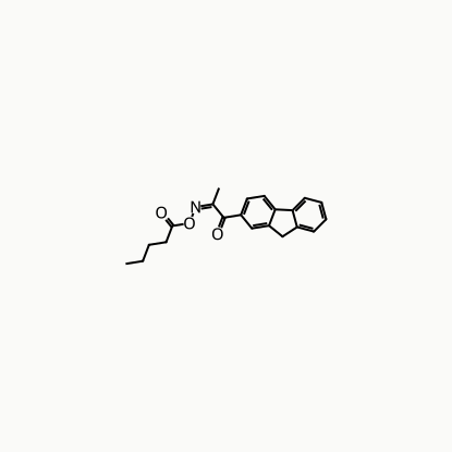 CCCCC(=O)O/N=C(/C)C(=O)c1ccc2c(c1)Cc1ccccc1-2